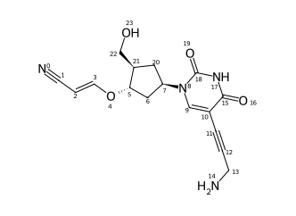 N#C/C=C/O[C@H]1C[C@H](n2cc(C#CCN)c(=O)[nH]c2=O)C[C@@H]1CO